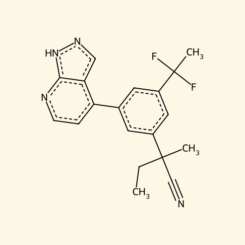 CCC(C)(C#N)c1cc(-c2ccnc3[nH]ncc23)cc(C(C)(F)F)c1